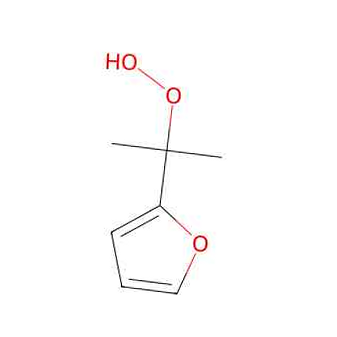 CC(C)(OO)c1ccco1